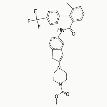 COC(=O)N1CCN(C2=Cc3cc(NC(=O)c4cccc(C)c4-c4ccc(C(F)(F)F)cc4)ccc3C2)CC1